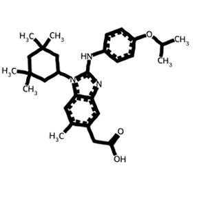 Cc1cc2c(cc1CC(=O)O)nc(Nc1ccc(OC(C)C)cc1)n2C1CC(C)(C)CC(C)(C)C1